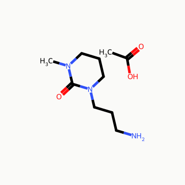 CC(=O)O.CN1CCCN(CCCN)C1=O